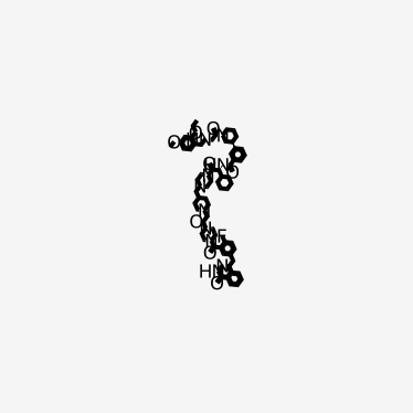 CCOc1cc(OC)ccc1CNCC(=O)N1CCC[C@@H](c2cccc(C(=O)N[C@@H](C(=O)N3CCN(CC4CCN(CC(=O)N5CCN(C(=O)c6cc(Cc7n[nH]c(=O)c8ccccc78)ccc6F)CC5)CC4)CC3)C3CCCCC3)c2)C1